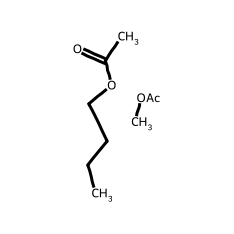 CCCCOC(C)=O.COC(C)=O